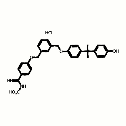 CC(C)(c1ccc(O)cc1)c1ccc(OCc2cccc(COc3ccc(C(=N)NC(=O)O)cc3)c2)cc1.Cl